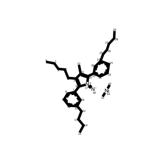 CCCCCC1=C(c2cccc(CCCC)c2)[N+](=[N-])C(c2cccc(CCCCC)c2)=C1C.[CH3][Ni][CH3]